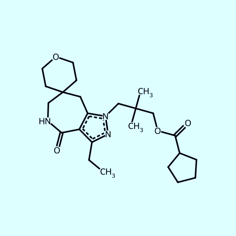 CCc1nn(CC(C)(C)COC(=O)C2CCCC2)c2c1C(=O)NCC1(CCOCC1)C2